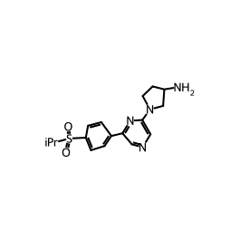 CC(C)S(=O)(=O)c1ccc(-c2cncc(N3CCC(N)C3)n2)cc1